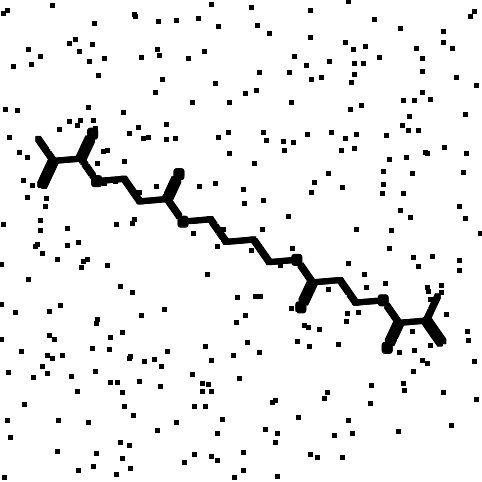 C=C(C)C(=O)OCCC(=O)OCCCCOC(=O)CCOC(=O)C(=C)C